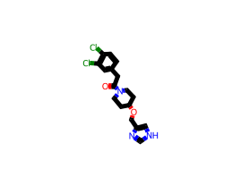 O=C(Cc1ccc(Cl)c(Cl)c1)N1CCC(OCc2c[nH]cn2)CC1